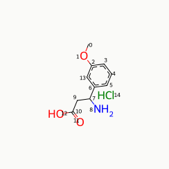 COc1cccc(C(N)CC(=O)O)c1.Cl